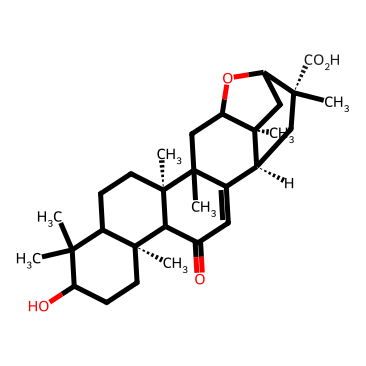 CC1(C)C(O)CC[C@@]2(C)C1CC[C@]1(C)C2C(=O)C=C2[C@@H]3C[C@@](C)(C(=O)O)C4C[C@]3(C)C(CC21C)O4